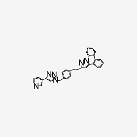 C1=C(c2ccccc2-c2ccccc2)N=NC1CCc1ccc(Cn2cc(-c3cccnc3)nn2)cc1